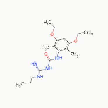 CCCNC(=N)NC(=O)Nc1c(C)c(OCC)cc(OCC)c1C